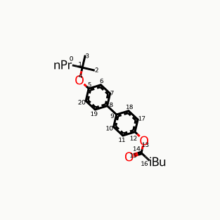 CCCC(C)(C)Oc1ccc(-c2ccc(OC(=O)C(C)CC)cc2)cc1